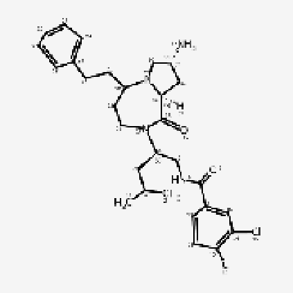 CC(C)C[C@H](CNC(=O)c1ccc(Cl)c(Cl)c1)N1CCC(CCc2ccccc2)N2C[C@H](N)C[C@H]2C1=O